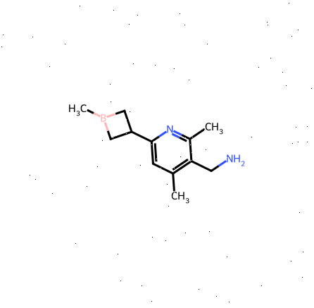 CB1CC(c2cc(C)c(CN)c(C)n2)C1